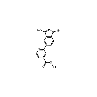 CC(C)OC(=O)c1ccnc(-c2ccc3c(c2)c(C#N)cn3C(C)C)c1